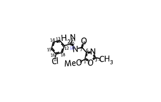 COc1oc(C)nc1C(=O)/N=C(\N)c1cccc(Cl)c1